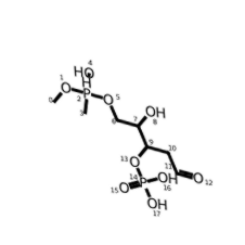 CO[PH](C)(O)OCC(O)C(CC=O)OP(=O)(O)O